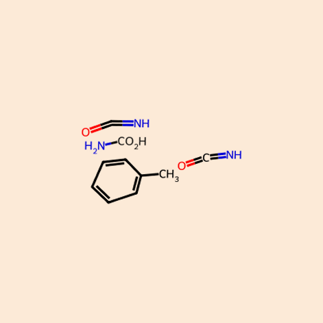 Cc1ccccc1.N=C=O.N=C=O.NC(=O)O